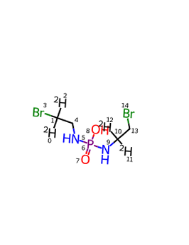 [2H]C([2H])(Br)CNP(=O)(O)NC([2H])([2H])CBr